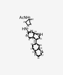 CC(=O)N[C@]1(C)C[C@H](Nc2ncc3c(-c4ccc5nccnc5c4)c[nH]c3n2)C1